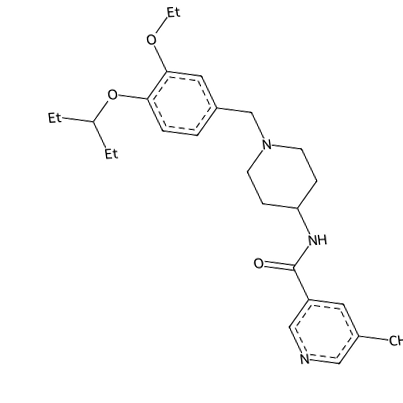 CCOc1cc(CN2CCC(NC(=O)c3cncc(C)c3)CC2)ccc1OC(CC)CC